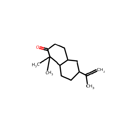 C=C(C)C1CCC2C(CCC(=O)C2(C)C)C1